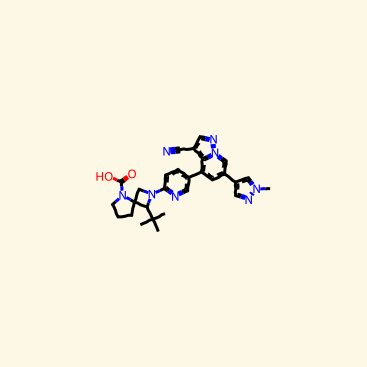 Cn1cc(-c2cc(-c3ccc(N4CC5(CCCN5C(=O)O)C4C(C)(C)C)nc3)c3c(C#N)cnn3c2)cn1